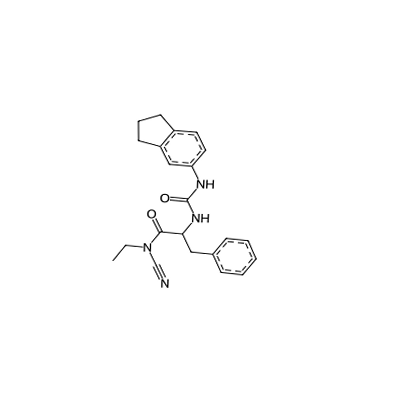 CCN(C#N)C(=O)C(Cc1ccccc1)NC(=O)Nc1ccc2c(c1)CCC2